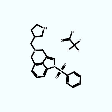 O=C(O)C(F)(F)F.O=S(=O)(c1ccccc1)n1cc2c3c(cccc31)CN(CC1CCNC1)C2